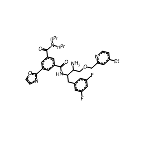 CCCN(CCC)C(=O)c1cc(C(=O)NC(Cc2cc(F)cc(F)c2)C(N)COCc2cc(CC)ccn2)cc(-c2ncco2)c1